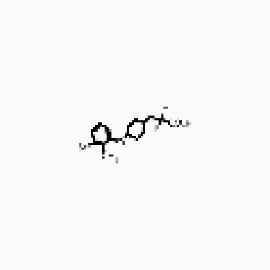 Cc1c(Br)cccc1OC1CCC(CC(F)(F)C(=O)O)CC1